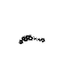 C[C@]12CC[C@H](OCCOCCN3CCCC3)C[C@H]1CC[C@@H]1[C@@H]2CC[C@]2(C)[C@@H](c3ccoc3)CC[C@@H]12